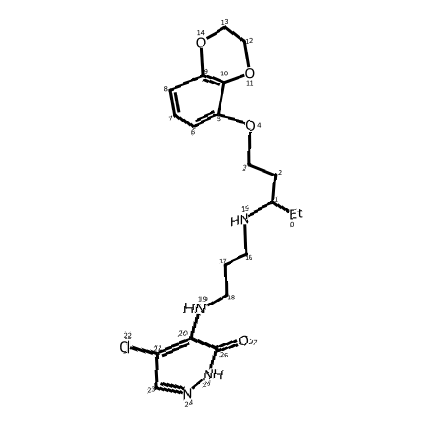 CCC(CCOc1cccc2c1OCCO2)NCCCNc1c(Cl)cn[nH]c1=O